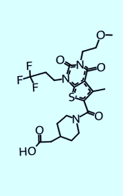 COCCn1c(=O)c2c(C)c(C(=O)N3CCC(CC(=O)O)CC3)sc2n(CCC(F)(F)F)c1=O